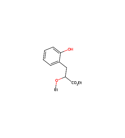 CCOC(=O)C(Cc1ccccc1O)OCC